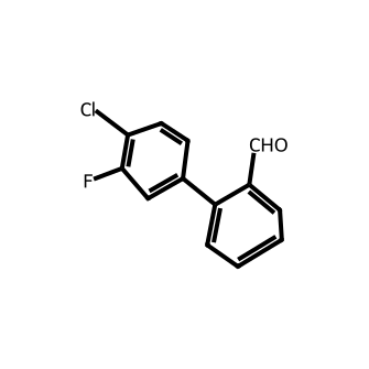 O=Cc1ccccc1-c1ccc(Cl)c(F)c1